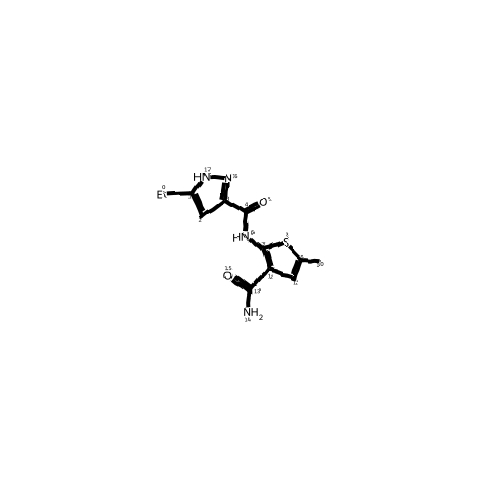 CCc1cc(C(=O)Nc2sc(C)cc2C(N)=O)n[nH]1